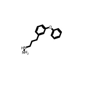 NNCCCc1cccc(Oc2ccccc2)c1